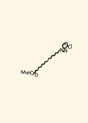 COC(=O)CCCCCCCCCCCCCCCn1cnc2c(Cl)nccc21